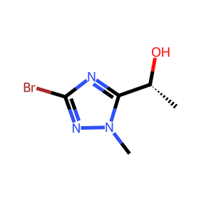 C[C@@H](O)c1nc(Br)nn1C